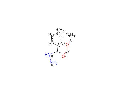 CCOC=O.Cc1ccc(CNN)cc1